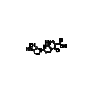 CNC1CCN(c2ccc3c(=O)c(C(=O)O)c[nH]c3n2)C1